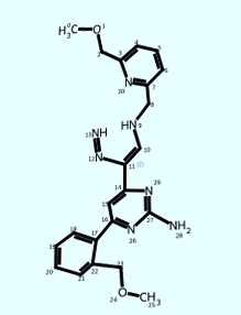 COCc1cccc(CN/C=C(\N=N)c2cc(-c3ccccc3COC)nc(N)n2)n1